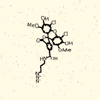 COc1cc2c(c(Cl)c1O)Oc1c(cc(OC)c(O)c1Cl)C21OC(=O)c2cc(C(O)NCCCN=[N+]=[N-])ccc21